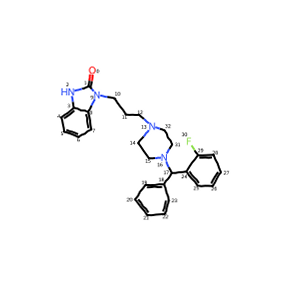 O=c1[nH]c2ccccc2n1CCCN1CCN(C(c2ccccc2)c2ccccc2F)CC1